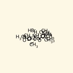 Br.CCC[C@H]1CN(CC(=O)c2cc(C(C)(C)C)c(O)c(C(C)(C)C)c2)C(=N)[C@@H]1c1ccc(C(=O)N(C)C)cc1